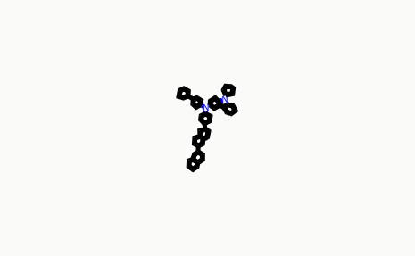 c1ccc(-c2ccc(N(c3ccc(-c4ccc5cc(-c6ccc7ccccc7c6)ccc5c4)cc3)c3ccc4c(c3)c3ccccc3n4-c3ccccc3)cc2)cc1